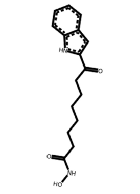 O=C(CCCCCCC(=O)c1cc2ccccc2[nH]1)NO